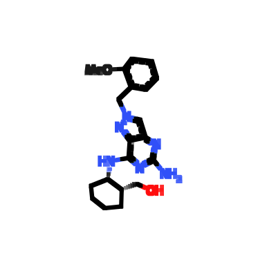 COc1ccccc1Cn1cc2nc(N)nc(N[C@H]3CCCC[C@H]3CO)c2n1